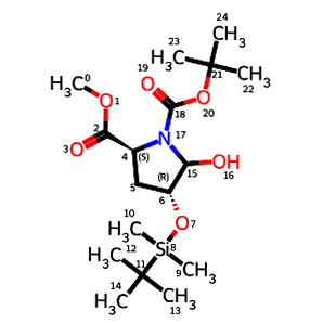 COC(=O)[C@@H]1C[C@@H](O[Si](C)(C)C(C)(C)C)C(O)N1C(=O)OC(C)(C)C